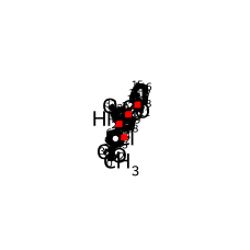 CS(=O)(=O)c1ccc(-c2cc(OC3CC4CCC(C3)N4C(=O)Oc3ccc(Cl)cc3)cc(=O)[nH]2)cc1